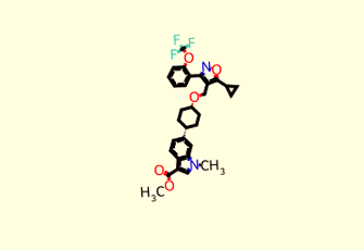 COC(=O)c1cn(C)c2cc([C@H]3CC[C@@H](OCc4c(-c5ccccc5OC(F)(F)F)noc4C4CC4)CC3)ccc12